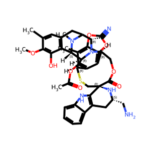 COc1c(C)cc2c(c1O)[C@H]1[C@@H]3[C@@H]4SC[C@]5(N[C@H](CN)Cc6c5[nH]c5ccccc65)C(=O)OC[C@@H](c5c6c(c(C)c(OC(C)=O)c54)OCO6)N3[C@@H](C#N)C(C2)N1C